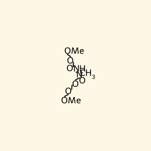 COCCOCCOCC(=O)N(C)CNC(=O)COCCOC